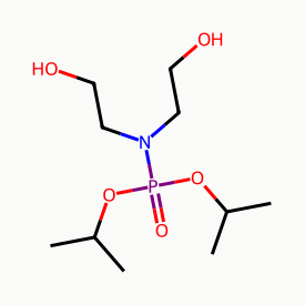 CC(C)OP(=O)(OC(C)C)N(CCO)CCO